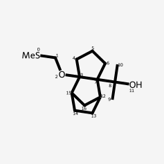 CSCOC12CCCC1(C(C)(C)O)C1CCC2C1